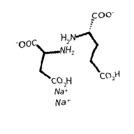 NC(CC(=O)O)C(=O)[O-].N[C@@H](CCC(=O)O)C(=O)[O-].[Na+].[Na+]